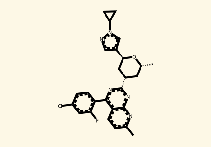 Cc1ccc2c(-c3ccc(Cl)cc3F)nc([C@H]3C[C@@H](C)O[C@H](c4cnn(C5CC5)c4)C3)nc2n1